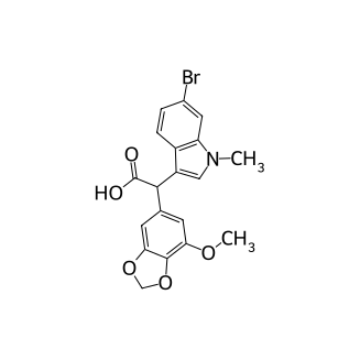 COc1cc(C(C(=O)O)c2cn(C)c3cc(Br)ccc23)cc2c1OCO2